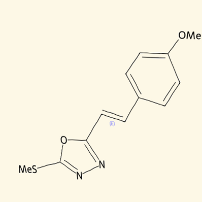 COc1ccc(/C=C/c2nnc(SC)o2)cc1